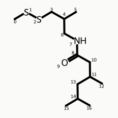 CSSCC(C)CNC(=O)CC(C)CC(C)C